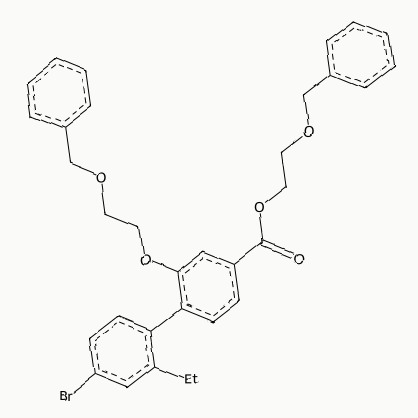 CCc1cc(Br)ccc1-c1ccc(C(=O)OCCOCc2ccccc2)cc1OCCOCc1ccccc1